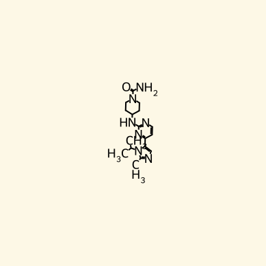 Cc1ncc(-c2ccnc(NC3CCN(C(N)=O)CC3)n2)n1C(C)C